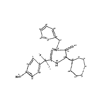 COc1ccc(C(F)(F)C(=O)NC(C(=O)NCc2ccccc2)C2CCCCCC2)cn1